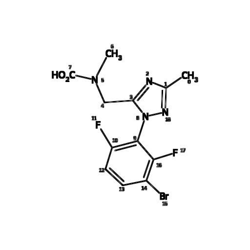 Cc1nc(CN(C)C(=O)O)n(-c2c(F)ccc(Br)c2F)n1